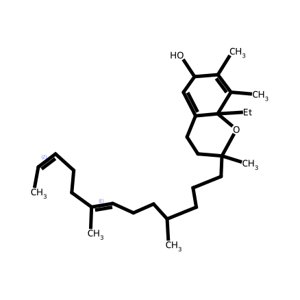 C/C=C\CC/C(C)=C/CCC(C)CCCC1(C)CCC2=CC(O)C(C)=C(C)C2(CC)O1